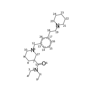 CCN(CC)C(=O)C1CCCN(Cc2cccc(CCN3CCCCC3)c2)C1